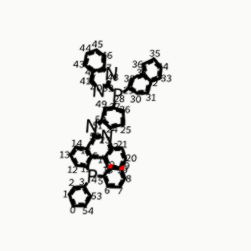 c1ccc(P(c2ccccc2)c2cccc3c2c2ccccc2n2c4ccc(P(c5ccc6ccccc6c5)c5ncc6ccccc6n5)cc4nc32)cc1